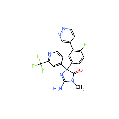 CN1C(=O)C(c2ccnc(C(F)(F)F)c2)(c2ccc(F)c(-c3ccnnc3)c2)N=C1N